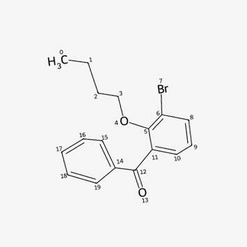 CCCCOc1c(Br)cccc1C(=O)c1ccccc1